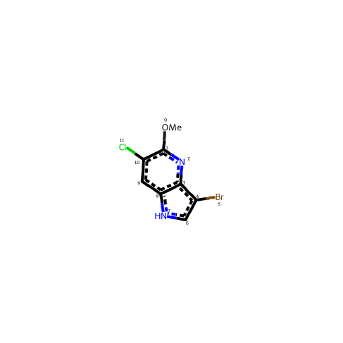 COc1nc2c(Br)c[nH]c2cc1Cl